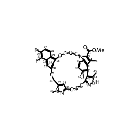 COC(=O)c1c(C)c2c3c(Cl)ccc2n1CCCOc1cc(cc2c(F)c(F)ccc12)CCc1cc(nn1C)CSCc1n[nH]c(C)c1-3